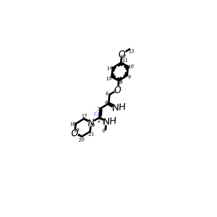 CN/C(=C\C(=N)COc1ccc(OC)cc1)N1CCOCC1